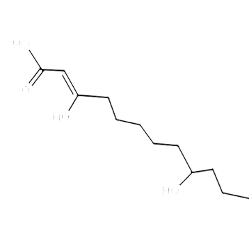 CCCC(O)CCCCCC(O)=CC(=O)O